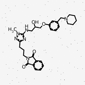 Cn1nc(CCCN2C(=O)c3ccccc3C2=O)nc1NCC(O)COc1cccc(CN2CCCCC2)c1